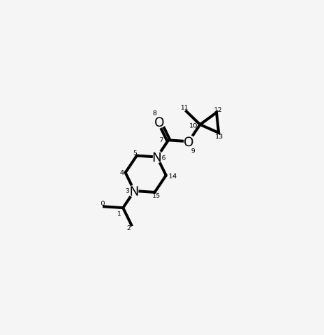 CC(C)N1CCN(C(=O)OC2(C)CC2)CC1